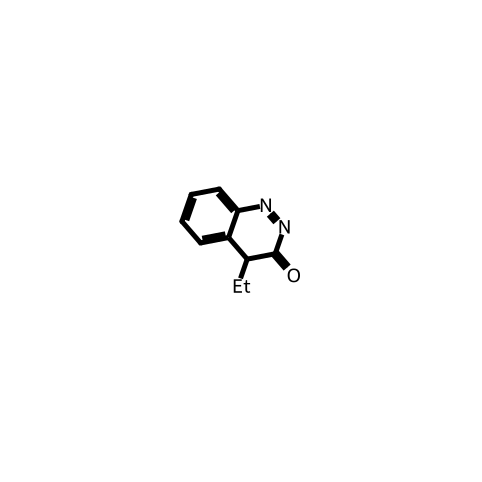 CCC1C(=O)N=Nc2ccccc21